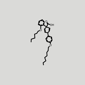 CCCCCCCCOc1ccc(C2C=CC(C(=O)O)(c3ccccc3OCCCCCC)C=C2)cc1